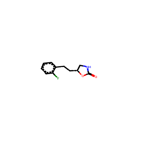 O=C1NCC(CCc2ccccc2F)O1